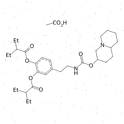 CC(=O)O.CCC(CC)C(=O)Oc1ccc(CCNC(=O)OC2CCC3CCCCN3C2)cc1OC(=O)C(CC)CC